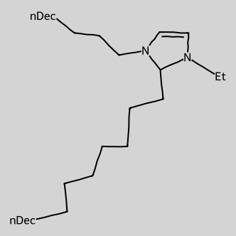 CCCCCCCCCCCCCCCCCC1N(CC)C=CN1CCCCCCCCCCCCC